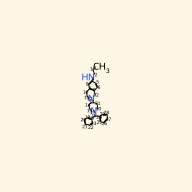 CCCNc1ccc2c(c1)CCN(C1CCN(C(c3ccccc3)c3ccccc3)CC1)C2